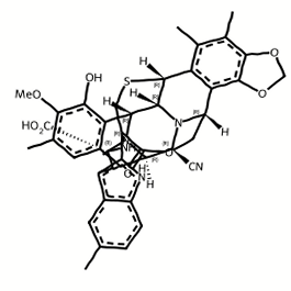 COc1c(C)cc2c(c1O)[C@@H]1[C@@H]3[C@@H]4SC[C@]5(N[C@@H](C(=O)O)Cc6c5[nH]c5ccc(C)cc65)C(=O)OC[C@@H](c5c6c(c(C)c(C)c54)OCO6)N3[C@@H](C#N)[C@@H](C2)N1C